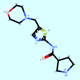 O=C(Nc1ncc(CN2CCOCC2)s1)C1CCNC1